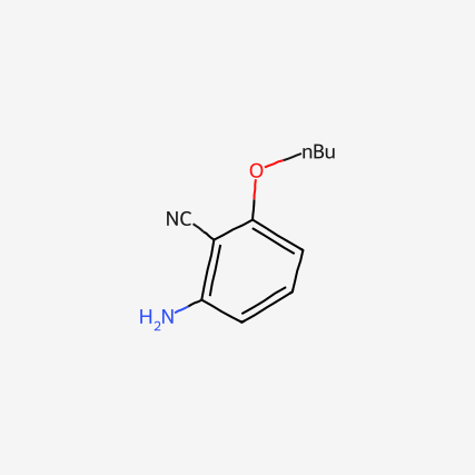 CCCCOc1cccc(N)c1C#N